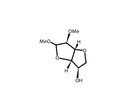 COC1O[C@@H]2[C@@H](OC[C@H]2O)[C@@H]1OC